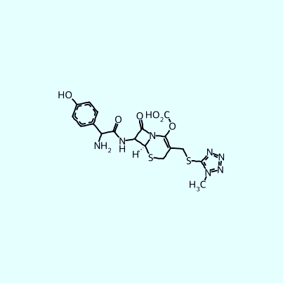 Cn1nnnc1SCC1=C(OC(=O)O)N2C(=O)C(NC(=O)C(N)c3ccc(O)cc3)[C@@H]2SC1